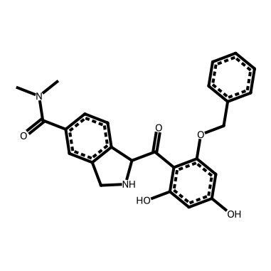 CN(C)C(=O)c1ccc2c(c1)CNC2C(=O)c1c(O)cc(O)cc1OCc1ccccc1